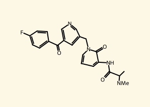 CNC(C)C(=O)Nc1cccn(Cc2cncc(C(=O)c3ccc(F)cc3)c2)c1=O